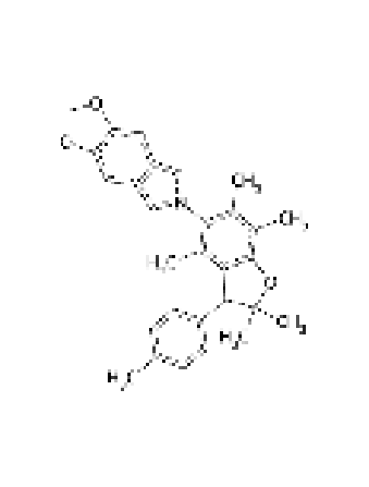 Cc1ccc(C2c3c(C)c(-n4cc5cc6c(cc5c4)OCO6)c(C)c(C)c3OC2(C)C)cc1